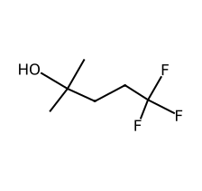 CC(C)(O)CCC(F)(F)F